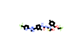 Cc1ccc(COCC(F)(F)F)c(N2C(=O)CS/C2=N\C(=O)Nc2ccc(-c3ncn(-c4ccc(C(F)(F)F)cn4)n3)cc2C)c1